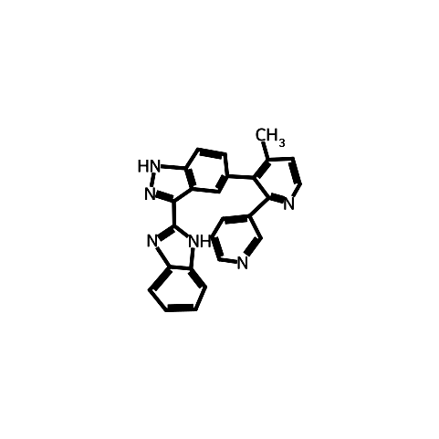 Cc1ccnc(-c2cccnc2)c1-c1ccc2[nH]nc(-c3nc4ccccc4[nH]3)c2c1